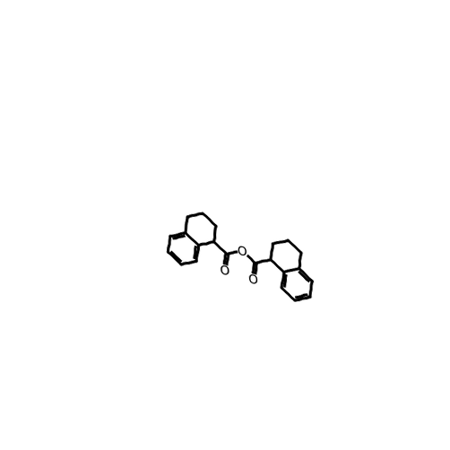 O=C(OC(=O)C1CCCc2ccccc21)C1CCCc2ccccc21